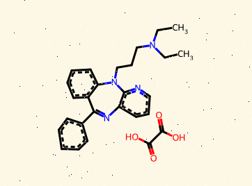 CCN(CC)CCCN1c2ccccc2C(c2ccccc2)=Nc2cccnc21.O=C(O)C(=O)O